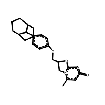 Cc1cc(=O)nc2n1CC(COc1ccc(C3C4CCCC3CCC4)cc1)O2